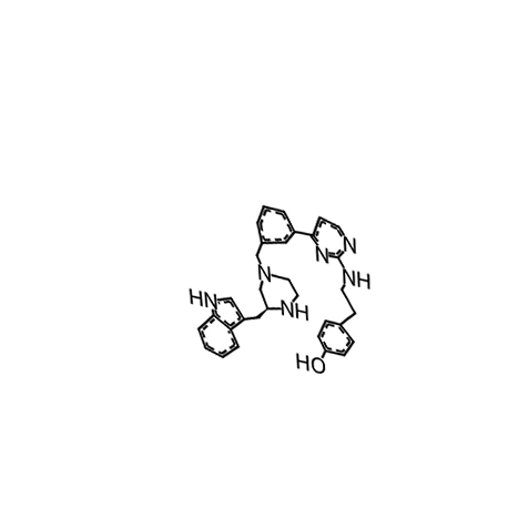 Oc1ccc(CCNc2nccc(-c3cccc(CN4CCN[C@@H](Cc5c[nH]c6ccccc56)C4)c3)n2)cc1